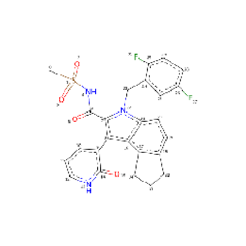 CS(=O)(=O)NC(=O)c1c(-c2ccc[nH]c2=O)c2c3c(ccc2n1Cc1cc(F)ccc1F)CCC3